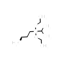 C=CCC[Si](OCC)(OCC)C(C)C